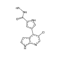 CCCNC(=O)c1cc(-c2c(Cl)cnc3[nH]ccc23)c[nH]1